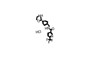 Cl.O=C(NCc1ccc([C@H]2CNCCO2)cc1)c1ccc(C(F)(F)F)nc1